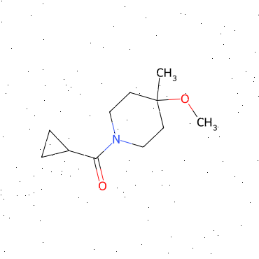 COC1(C)CCN(C(=O)C2CC2)CC1